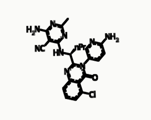 CCC[C@H](Nc1nc(C)nc(N)c1C#N)c1nc2cccc(Cl)c2c(=O)n1-c1ccc(N)nc1